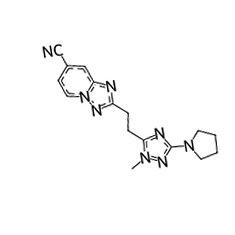 Cn1nc(N2CCCC2)nc1CCc1nc2cc(C#N)ccn2n1